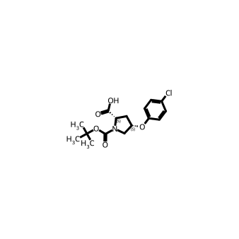 CC(C)(C)OC(=O)N1C[C@@H](Oc2ccc(Cl)cc2)C[C@H]1C(=O)O